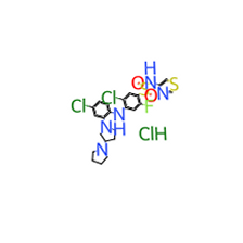 Cl.O=S(=O)(Nc1cscn1)c1cc(Cl)c(Nc2ccc(Cl)cc2N2CCC(N3CCCC3)C2)cc1F